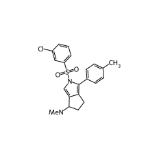 CNC1CCc2c1cn(S(=O)(=O)c1cccc(Cl)c1)c2-c1ccc(C)cc1